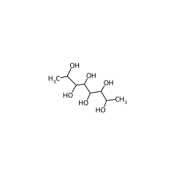 CC(O)C(O)C(O)C(O)C(O)C(C)O